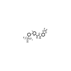 Cc1ccc(NC(=O)C2(c3ccc4c(c3)OC(F)(F)O4)CC2)nc1-c1cccc(C(O)(C(F)(F)F)C(F)(F)F)c1